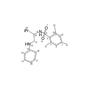 Cc1cc(C)c(S(=O)(=O)NC(CNc2ccccc2)C(C)C)c(C)c1